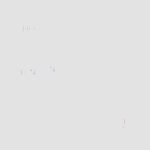 NN(CC(=O)O)c1ccc(O)cc1